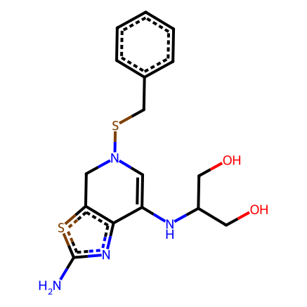 Nc1nc2c(s1)CN(SCc1ccccc1)C=C2NC(CO)CO